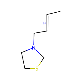 C/C=C/CN1CCSC1